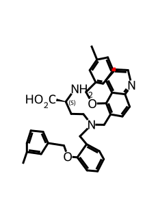 Cc1cccc(COc2ccccc2CN(CC[C@H](N)C(=O)O)Cc2ccc3ncccc3c2OCc2cccc(C)c2)c1